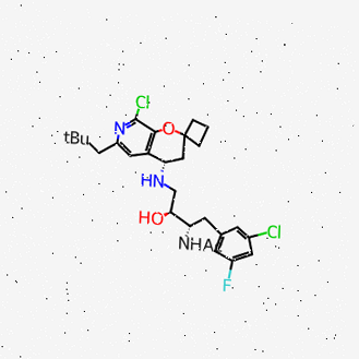 CC(=O)N[C@@H](Cc1cc(F)cc(Cl)c1)[C@@H](O)CN[C@H]1CC2(CCC2)Oc2c1cc(CC(C)(C)C)nc2Cl